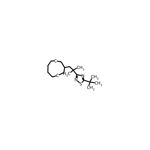 CC(C)(C)c1nc(C(C)(C)CC2CCCCCCCC2)ns1